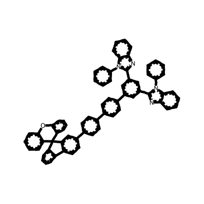 c1ccc(-n2c(-c3cc(-c4ccc(-c5ccc(-c6ccc7c(c6)C6(c8ccccc8Oc8ccccc86)c6ccccc6-7)cc5)cc4)cc(-c4nc5ccccc5n4-c4ccccc4)c3)nc3ccccc32)cc1